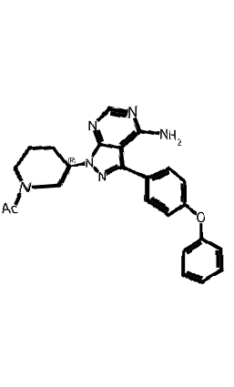 CC(=O)N1CCC[C@@H](n2nc(-c3ccc(Oc4ccccc4)cc3)c3c(N)ncnc32)C1